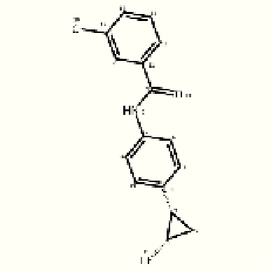 CC[C@H]1C[C@H]1c1ccc(NC(=O)c2cccc(Cl)c2)cc1